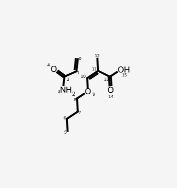 C=CC(N)=O.CCCCOC=C(C)C(=O)O